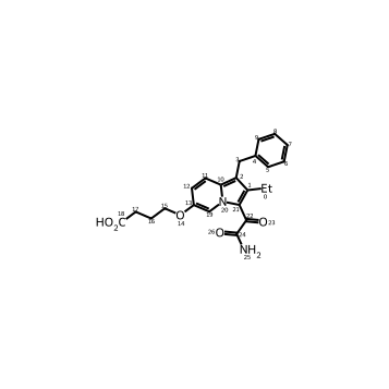 CCc1c(Cc2ccccc2)c2ccc(OCCCC(=O)O)cn2c1C(=O)C(N)=O